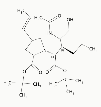 CC=CC1CC(C(=O)OC(C)(C)C)N([C@@H](C(=O)OC(C)(C)C)[C@H](CCC)C(CO)NC(C)=O)C1